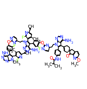 C#Cc1cc(C)c(-c2c(-c3ccc(Oc4nccc(CCn5c(-c6c(C)cc(C#C)nc6F)c(-c6ccc(Oc7nccc(CCn8c(-c9ccc(NC(=O)C(=C)C)cc9)c(C9=CC[C@@]%10(CC9)Cc9ccc(OC)nc9C%10=O)c9c(N)ncnc98)n7)c(F)c6)c6c(N)ncnc65)n4)c(F)c3)c3c(N)ncnc3n2C)c(F)n1